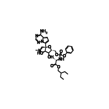 CCC(CC)COC(=O)[C@H](C)N[P@](=O)(OC[C@H]1O[C@@](C=NC)(c2ccc3c(N)ncnn23)[C@H](O)[C@@H]1O)Oc1ccccc1